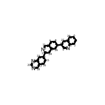 c1ccc2ncc(-c3ccc4cnc(-c5ccc6cncnc6c5)cc4c3)cc2c1